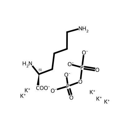 NCCCC[C@H](N)C(=O)[O-].O=P([O-])([O-])OP(=O)([O-])[O-].[K+].[K+].[K+].[K+].[K+]